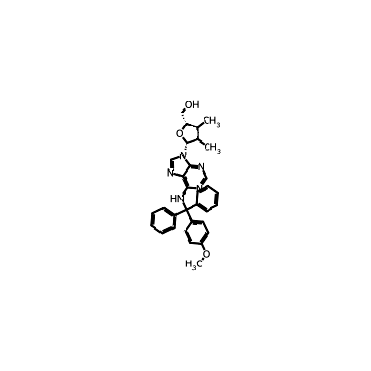 COc1ccc(C(Nc2ncnc3c2ncn3[C@@H]2O[C@H](CO)C(C)C2C)(c2ccccc2)c2ccccc2)cc1